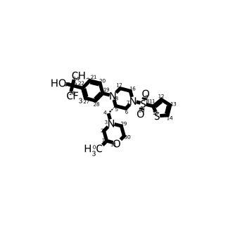 CC1CN(C[C@H]2CN(S(=O)(=O)c3cccs3)CCN2c2ccc(C(C)(O)C(F)(F)F)cc2)CCO1